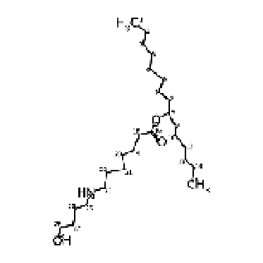 CCCCCCCCC(CCCCCC)OC(=O)CCCCCCNCCCCO